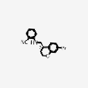 N#Cc1ccccc1NC[C@@H]1CCOc2cc(Br)ccc21